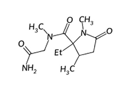 CCC1(C(=O)N(C)CC(N)=O)C(C)CC(=O)N1C